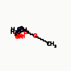 CCCCCCCCCCCOCCCCCCOCC(CC(COP(=O)(O)O)[N+](C)(C)C)C1CCCC1